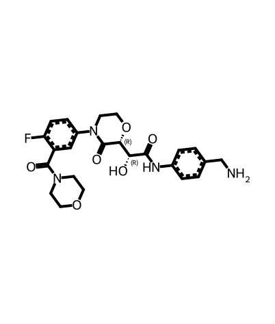 NCc1ccc(NC(=O)[C@H](O)[C@H]2OCCN(c3ccc(F)c(C(=O)N4CCOCC4)c3)C2=O)cc1